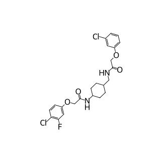 O=C(COc1cccc(Cl)c1)NCC1CCC(NC(=O)COc2ccc(Cl)c(F)c2)CC1